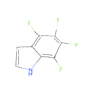 Fc1c(F)c(F)c2[nH]ccc2c1F